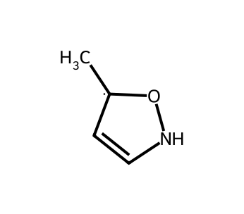 C[C]1C=CNO1